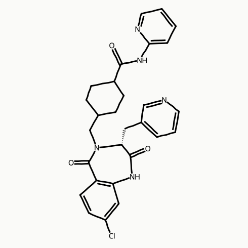 O=C(Nc1ccccn1)C1CCC(CN2C(=O)c3ccc(Cl)cc3NC(=O)[C@H]2Cc2cccnc2)CC1